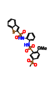 COc1ccc(S(C)(=O)=O)cc1S(=O)(=O)Nc1ccccc1NS(=O)(=O)c1cc2ccccc2s1